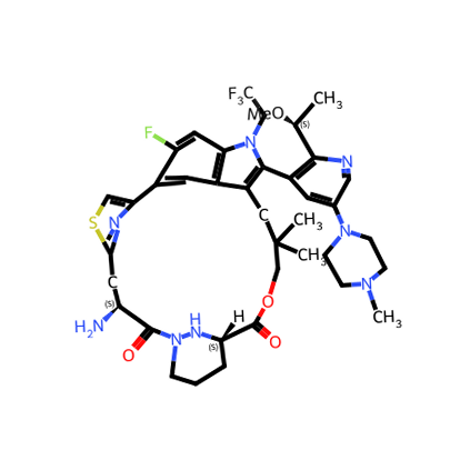 CO[C@@H](C)c1ncc(N2CCN(C)CC2)cc1-c1c2c3cc(c(F)cc3n1CC(F)(F)F)-c1csc(n1)C[C@H](N)C(=O)N1CCC[C@H](N1)C(=O)OCC(C)(C)C2